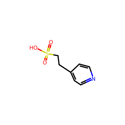 O=S(=O)(O)CCc1ccncc1